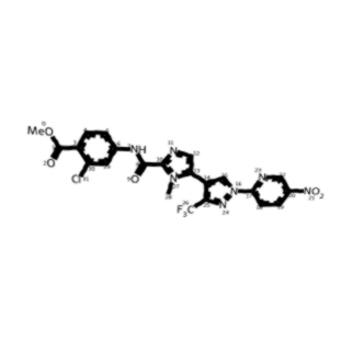 COC(=O)c1ccc(NC(=O)c2ncc(-c3cn(-c4ccc([N+](=O)[O-])cn4)nc3C(F)(F)F)n2C)cc1Cl